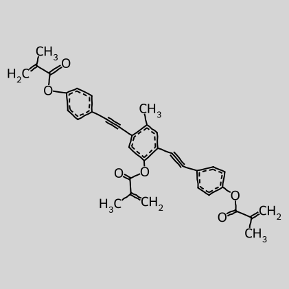 C=C(C)C(=O)Oc1ccc(C#Cc2cc(OC(=O)C(=C)C)c(C#Cc3ccc(OC(=O)C(=C)C)cc3)cc2C)cc1